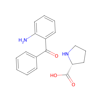 Nc1ccccc1C(=O)c1ccccc1.O=C(O)[C@H]1CCCN1